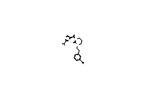 CC(C)c1ncc2c(=O)n3c(nn12)N(CCc1cccc(C#N)c1)CCC3